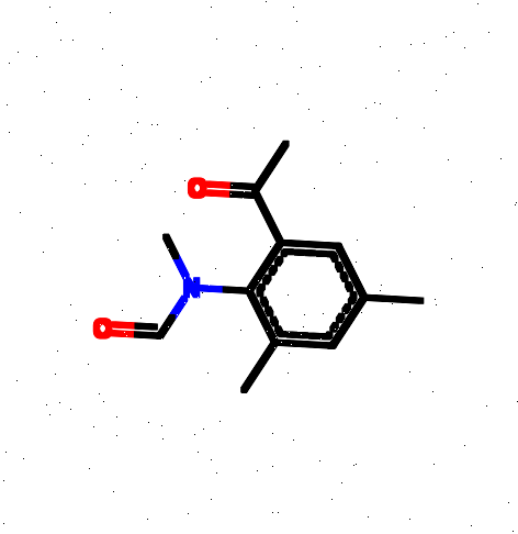 CC(=O)c1cc(C)cc(C)c1N(C)C=O